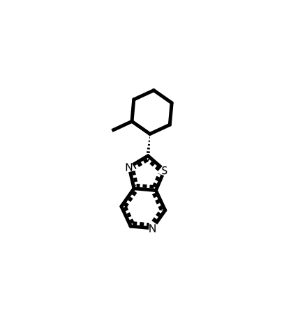 CC1CCCC[C@@H]1c1nc2ccncc2s1